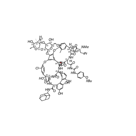 CCCCOc1ccc(NC(=O)NC(=O)C[C@@H]2NC(=O)[C@H](NC(=O)[C@@H](CC(C)C)NC)[C@H](O)c3ccc(c(C)c3)Oc3cc4cc(c3O[C@@H]3O[C@H](CO)[C@@H](O)[C@H](O)[C@H]3O[C@H]3C[C@](C)(N)[C@H](O)[C@H](C)O3)Oc3ccc(cc3Cl)[C@@H](O)[C@@H]3NC(=O)[C@H](NC(=O)[C@@H]4NC2=O)c2ccc(O)c(c2)-c2c(O)cc(O)cc2[C@@H](C(=O)NC2C4CC5CC(C4)CC2C5)NC3=O)cc1